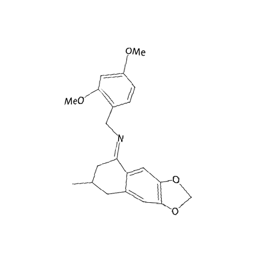 COc1ccc(CN=C2CC(C)Cc3cc4c(cc32)OCO4)c(OC)c1